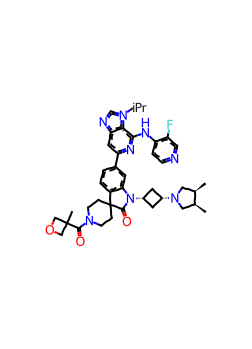 CC(C)n1cnc2cc(-c3ccc4c(c3)N([C@H]3C[C@@H](N5C[C@@H](C)[C@@H](C)C5)C3)C(=O)C43CCN(C(=O)C4(C)COC4)CC3)nc(Nc3ccncc3F)c21